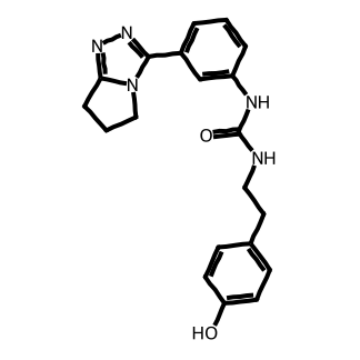 O=C(NCCc1ccc(O)cc1)Nc1cccc(-c2nnc3n2CCC3)c1